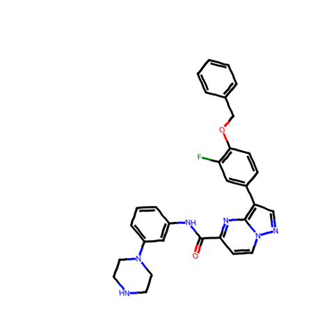 O=C(Nc1cccc(N2CCNCC2)c1)c1ccn2ncc(-c3ccc(OCc4ccccc4)c(F)c3)c2n1